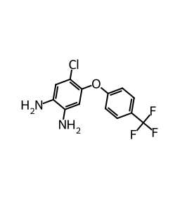 Nc1cc(Cl)c(Oc2ccc(C(F)(F)F)cc2)cc1N